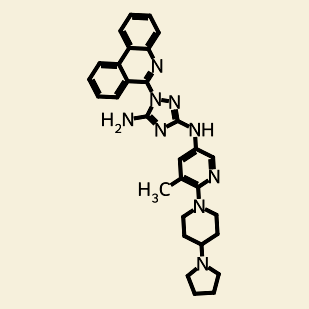 Cc1cc(Nc2nc(N)n(-c3nc4ccccc4c4ccccc34)n2)cnc1N1CCC(N2CCCC2)CC1